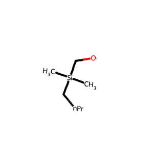 CCCC[Si](C)(C)C[O]